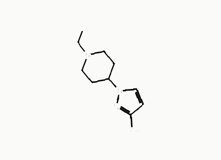 CCN1CCC(n2ccc(C)n2)CC1